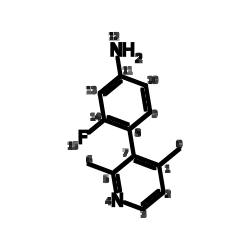 Cc1ccnc(C)c1-c1ccc(N)cc1F